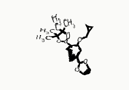 CC1(C)OB(c2ccc(C3OC=CO3)cc2OCC2CC2)OC1(C)C